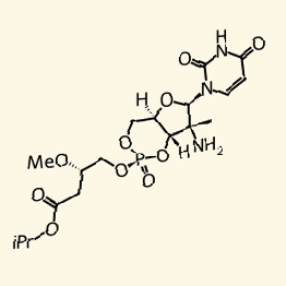 CO[C@H](CO[P@@]1(=O)OC[C@H]2O[C@@H](n3ccc(=O)[nH]c3=O)[C@](C)(N)[C@@H]2O1)CC(=O)OC(C)C